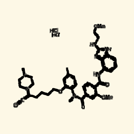 COCCNc1nc2c(NC(=O)c3ccc(C(=O)N(C)c4ccc(C)cc4OCCCCC(=C=O)N4CCN(C)CC4)cc3OC)cccc2[nH]1.Cl.Cl